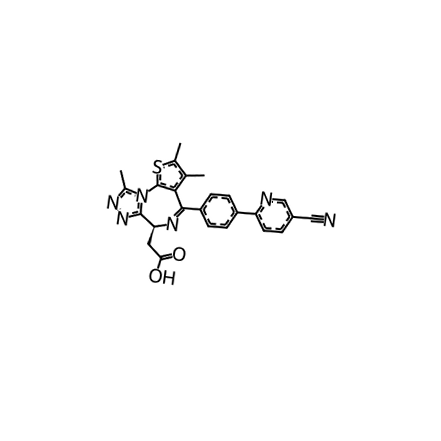 Cc1sc2c(c1C)C(c1ccc(-c3ccc(C#N)cn3)cc1)=N[C@@H](CC(=O)O)c1nnc(C)n1-2